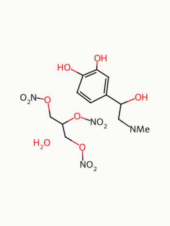 CNCC(O)c1ccc(O)c(O)c1.O.O=[N+]([O-])OCC(CO[N+](=O)[O-])O[N+](=O)[O-]